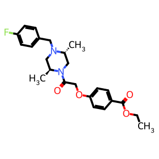 CCOC(=O)c1ccc(OCC(=O)N2C[C@@H](C)N(Cc3ccc(F)cc3)C[C@@H]2C)cc1